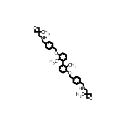 Cc1c(OCc2ccc(CNCC3(C)COC3)cc2)cccc1-c1cccc(OCc2ccc(CNCC3(C)COC3)cc2)c1C